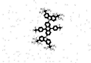 CC(C)(C)c1ccc2c(c1)c1cc(C(C)(C)C)ccc1n2-c1ccc2c(-c3ccc(C(F)(F)F)cc3)c3cc(-n4c5ccc(C(C)(C)C)cc5c5cc(C(C)(C)C)ccc54)ccc3c(-c3ccc(C(F)(F)F)cc3)c2c1